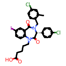 Cc1cc(Cl)ccc1CN1C(=O)c2cc(I)ccc2N(CCCCC(=O)O)C(=O)[C@H]1c1ccc(Cl)cc1